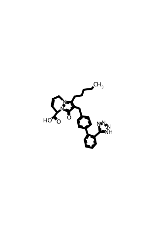 CCCCCc1c(Cc2ccc(-c3ccccc3-c3nnn[nH]3)cc2)c(=O)n2n1CC=CC2C(=O)O